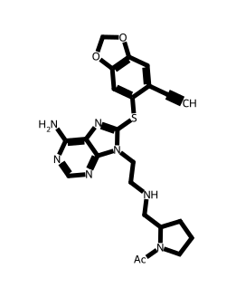 C#Cc1cc2c(cc1Sc1nc3c(N)ncnc3n1CCNCC1CCCN1C(C)=O)OCO2